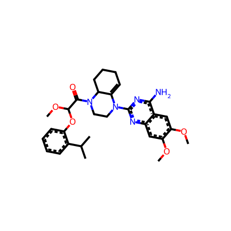 COc1cc2nc(N3CCN(C(=O)C(OC)Oc4ccccc4C(C)C)C4CCCC=C43)nc(N)c2cc1OC